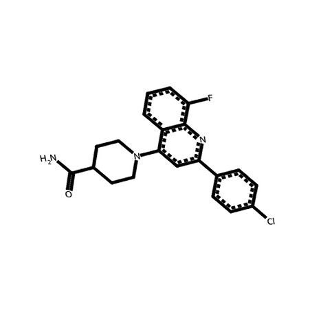 NC(=O)C1CCN(c2cc(-c3ccc(Cl)cc3)nc3c(F)cccc23)CC1